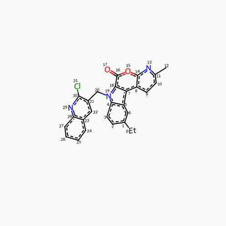 CCc1ccc2c(c1)c1c3ccc(C)nc3oc(=O)c1n2Cc1cc2ccccc2nc1Cl